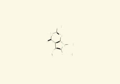 CCOc1c(C(=O)O)n(C)c2nc(C)[nH]c(=O)c12